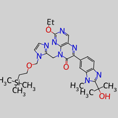 CCOc1ncc2nc(-c3ccc4nc(C(C)(C)O)n(C)c4c3)c(=O)n(Cc3nccn3COCC[Si](C)(C)C)c2n1